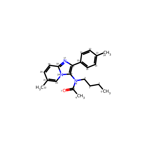 CCCCN(C(C)=O)c1c(-c2ccc(C)cc2)nc2ccc(C)cn12